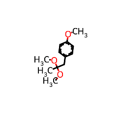 COc1ccc(CC(C)(OC)OC)cc1